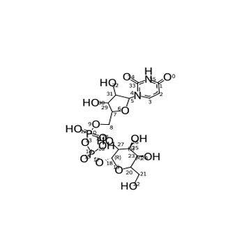 O=c1ccn(C2OC(COP(=O)(O)OP(=O)(O)O[C@H]3OC(CO)[C@H](O)[C@H](O)C3O)C(O)C2O)c(=O)[nH]1